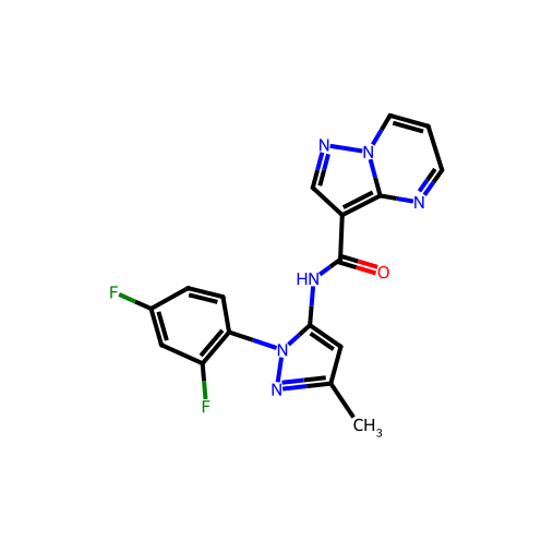 Cc1cc(NC(=O)c2cnn3cccnc23)n(-c2ccc(F)cc2F)n1